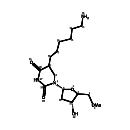 COCC1O[C@@H](N2CC(CCCCCCN)C(=O)NC2=O)C[C@H]1O